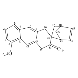 COc1cccc2cc3c(cc12)CC(=O)C1(C3)CC2C=CC1C2